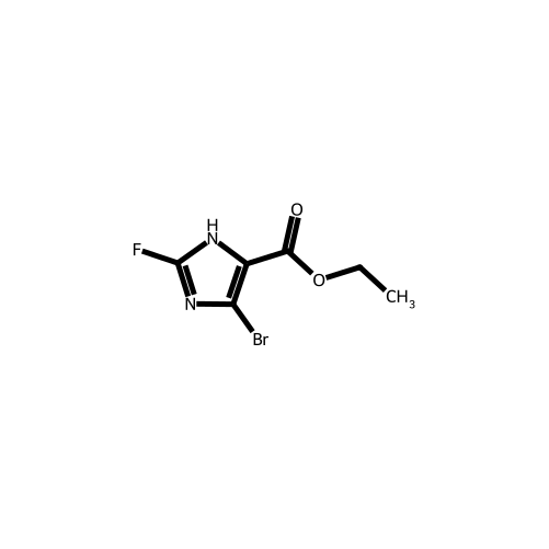 CCOC(=O)c1[nH]c(F)nc1Br